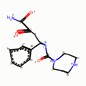 NC(=O)C(=O)CC(NC(=O)N1CCNCC1)c1ccccc1